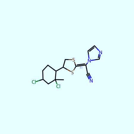 CC1(Cl)CC(Cl)CCC1C1CS/C(=C(/C#N)n2ccnc2)S1